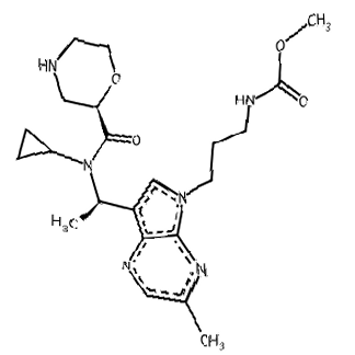 COC(=O)NCCCn1cc([C@@H](C)N(C(=O)[C@H]2CNCCO2)C2CC2)c2ncc(C)nc21